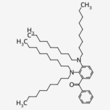 CCCCCCCCCN(CCCCCCCCC)c1cccc(C(=O)c2ccccc2)c1N(CCCCCCCCC)CCCCCCCCC